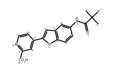 CC(C)(F)C(=O)Nc1ccc2oc(-c3ccnc(C(=O)O)c3)cc2c1